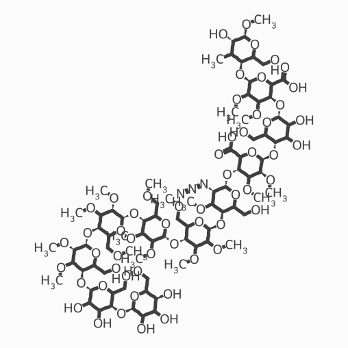 COCC1O[C@@H](O[C@@H]2C(CO)O[C@@H](O[C@@H]3C(C(=O)O)O[C@@H](O[C@@H]4C(CO)O[C@H](O[C@@H]5C(C(=O)O)O[C@H](O[C@@H]6C(CO)O[C@H](OC)[C@@H](O)C6C)C(OC)C5OC)C(O)C4O)[C@@H](OC)C3OC)[C@@H](N=[N+]=[N-])C2OC)C(OC)C(OC)[C@@H]1O[C@H]1OC(COC)[C@@H](O[C@@H]2OC(COC)[C@@H](O[C@@H]3OC(CO)[C@@H](O[C@@H]4OC(CO)[C@@H](O[C@H]5OC(CO)[C@@H](O)C(O)C5O)C(O)C4O)C(OC)[C@@H]3OC)C(OC)[C@@H]2OC)C(OC)C1OC